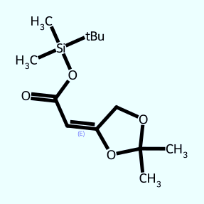 CC1(C)OC/C(=C\C(=O)O[Si](C)(C)C(C)(C)C)O1